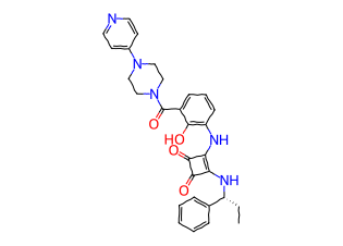 CC[C@@H](Nc1c(Nc2cccc(C(=O)N3CCN(c4ccncc4)CC3)c2O)c(=O)c1=O)c1ccccc1